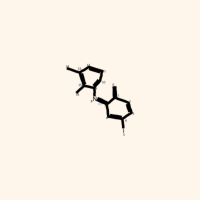 C=C1C=CC(I)=C/C1=N/c1cccc(C)c1C